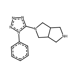 c1ccc(-n2nnnc2N2CC3CNCC3C2)cc1